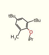 Cc1cc(C(C)(C)C)cc(C(C)(C)C)c1OC(C)C